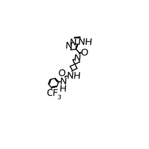 O=C(Nc1cccc(C(F)(F)F)c1)NC1CC2(C1)CN(C(=O)c1cnn3cc[nH]c13)C2